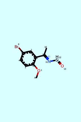 COc1ccc(Br)cc1/C(C)=N/[SiH]=O